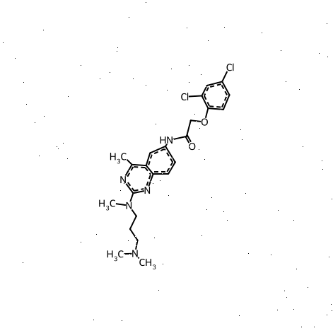 Cc1nc(N(C)CCCN(C)C)nc2ccc(NC(=O)COc3ccc(Cl)cc3Cl)cc12